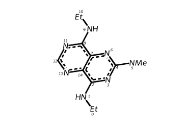 CCNc1nc(NC)nc2c(NCC)ncnc12